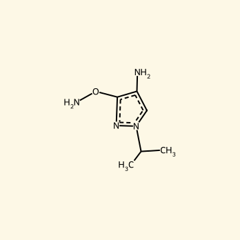 CC(C)n1cc(N)c(ON)n1